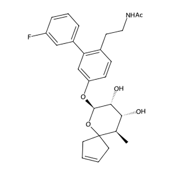 CC(=O)NCCc1ccc(O[C@@H]2OC3(CC=CC3)[C@H](C)[C@@H](O)[C@H]2O)cc1-c1cccc(F)c1